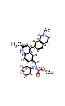 CC(=O)N1CCc2ccc(-c3cc(C)nc4ccc(CN(C(=O)OC(C)(C)C)C5CCOCC5)cc34)cc2C1